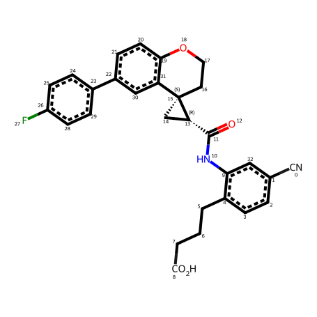 N#Cc1ccc(CCCC(=O)O)c(NC(=O)[C@@H]2C[C@]23CCOc2ccc(-c4ccc(F)cc4)cc23)c1